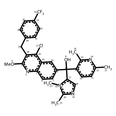 COc1nc2ccc(C(O)(c3ccc(C)nc3C)c3cnc(C)n3C)cc2c(Cl)c1Cc1ccc(C(F)(F)F)cc1